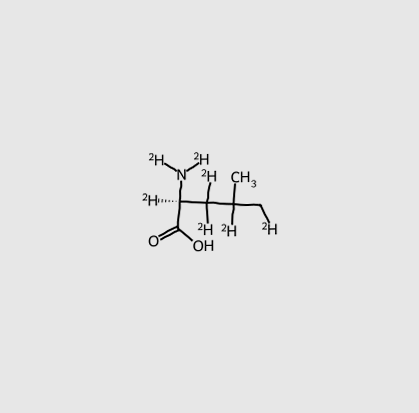 [2H]CC([2H])(C)C([2H])([2H])[C@@]([2H])(C(=O)O)N([2H])[2H]